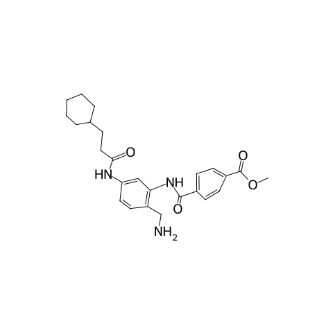 COC(=O)c1ccc(C(=O)Nc2cc(NC(=O)CCC3CCCCC3)ccc2CN)cc1